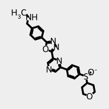 CNCc1ccc(-c2nnc(-c3cncc(-c4ccc([S+]([O-])C5CCOCC5)cc4)n3)o2)cc1